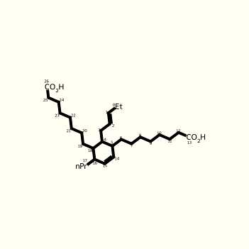 CC/C=C/CC1C(CCCCCCCC(=O)O)C=CC(CCC)C1CCCCCCCC(=O)O